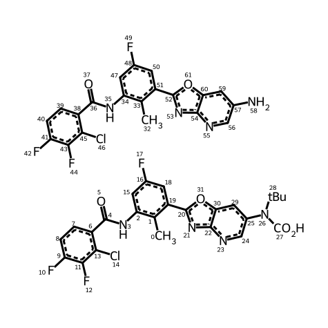 Cc1c(NC(=O)c2ccc(F)c(F)c2Cl)cc(F)cc1-c1nc2ncc(N(C(=O)O)C(C)(C)C)cc2o1.Cc1c(NC(=O)c2ccc(F)c(F)c2Cl)cc(F)cc1-c1nc2ncc(N)cc2o1